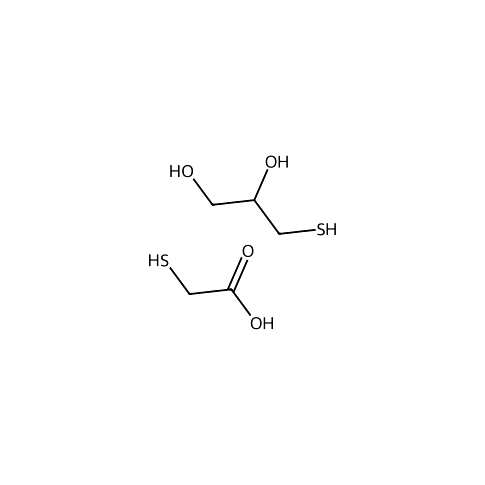 O=C(O)CS.OCC(O)CS